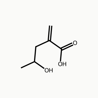 C=C(CC(C)O)C(=O)O